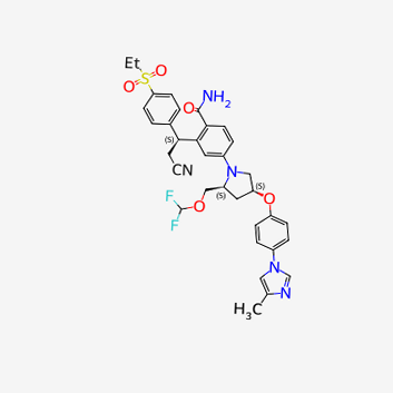 CCS(=O)(=O)c1ccc([C@H](CC#N)c2cc(N3C[C@@H](Oc4ccc(-n5cnc(C)c5)cc4)C[C@H]3COC(F)F)ccc2C(N)=O)cc1